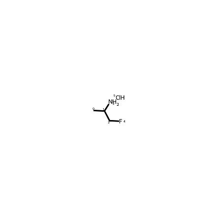 CC(N)CF.Cl